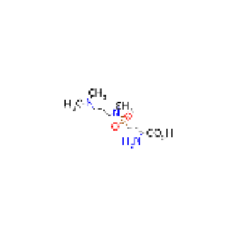 CN(C)CCCN(C)S(=O)(=O)CCC(N)C(=O)O